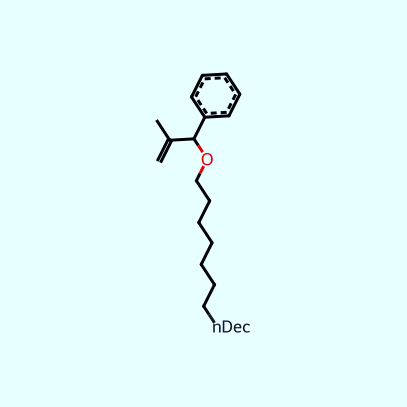 C=C(C)C(OCCCCCCCCCCCCCCCCC)c1ccccc1